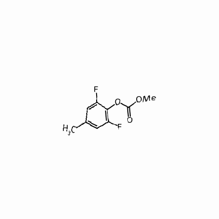 COC(=O)Oc1c(F)cc(C)cc1F